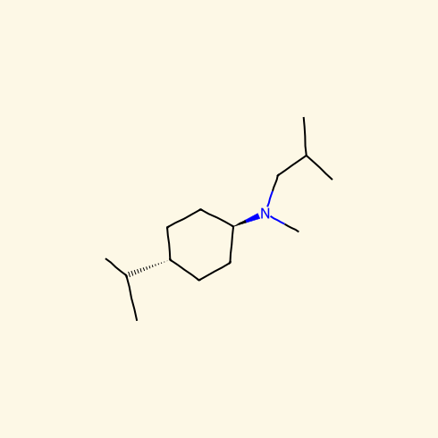 CC(C)CN(C)[C@H]1CC[C@H](C(C)C)CC1